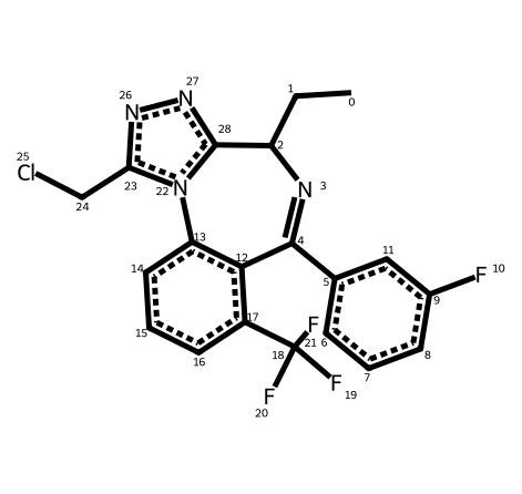 CCC1N=C(c2cccc(F)c2)c2c(cccc2C(F)(F)F)-n2c(CCl)nnc21